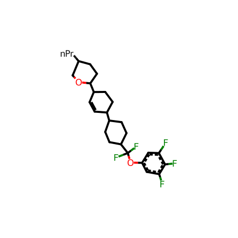 CCCC1CCC(C2C=CC(C3CCC(C(F)(F)Oc4cc(F)c(F)c(F)c4)CC3)CC2)OC1